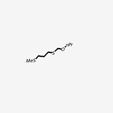 [CH2]SCCCSCOC[CH]C